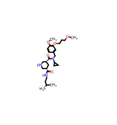 COCCCOc1cc(CN(C(=O)[C@@H]2CNC[C@@H](C(=O)NCCC(C)C)C2)C2CC2)ccc1OC